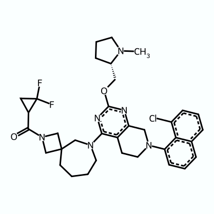 CN1CCC[C@H]1COc1nc2c(c(N3CCCCC4(CN(C(=O)C5CC5(F)F)C4)C3)n1)CCN(c1cccc3cccc(Cl)c13)C2